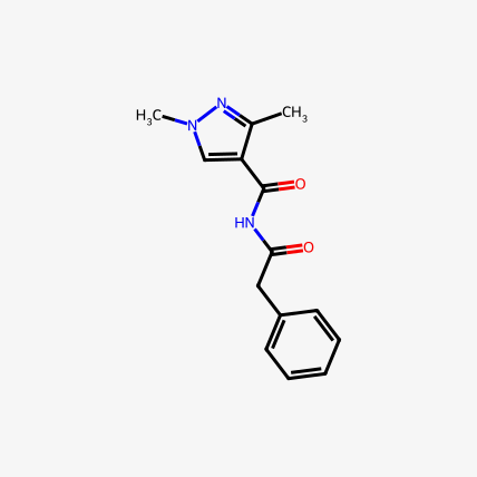 Cc1nn(C)cc1C(=O)NC(=O)Cc1ccccc1